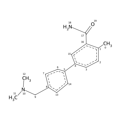 Cc1ccc(-c2ccc(CN(C)C)cc2)cc1C(N)=O